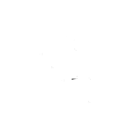 CN1CCC(c2c(NC(=O)O)cc(Cl)nc2Cl)[C@@]1(Cl)c1cccnc1